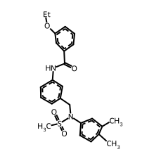 CCOc1cccc(C(=O)Nc2cccc(CN(c3ccc(C)c(C)c3)S(C)(=O)=O)c2)c1